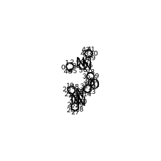 c1ccc(-c2cc(-c3ccc4oc5ccc(-n6c7ccccc7n7c8ccccc8nc67)cc5c4c3)nc(-c3ccccc3)n2)cc1